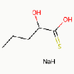 CCCC(O)C(O)=S.[NaH]